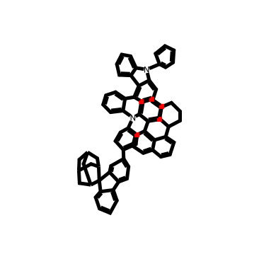 c1ccc(-n2c3ccccc3c3c(-c4ccccc4N(c4ccc(-c5ccc6c(c5)C5(c7ccccc7-6)C6CC7CC(C6)CC5C7)cc4)c4ccccc4-c4cccc5cccc(C6CCCCC6)c45)cccc32)cc1